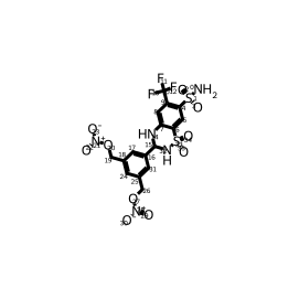 NS(=O)(=O)c1cc2c(cc1C(F)(F)F)NC(c1cc(CO[N+](=O)[O-])cc(CO[N+](=O)[O-])c1)NS2(=O)=O